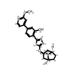 COc1cc(-c2ccc(-c3nnc(OC4C[C@H]5CC[C@@H](C4)N5C)s3)c(O)c2)ccn1